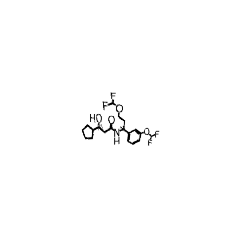 O=C(C[C@H](O)C1CCCC1)N[C@@H](CCOC(F)F)c1cccc(OC(F)F)c1